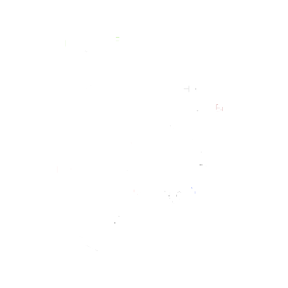 CBr.CN1C2CCC1(C1CC1)CC(OC(=O)C(O)(c1ccccc1)c1ccc(C(F)F)cc1)C2